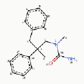 CN(CC(C)(Cc1ccccc1)c1ccccc1)C(N)=O